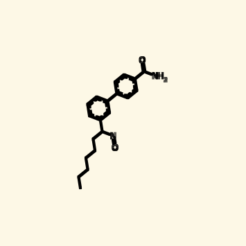 CCCCCCC(N=O)c1cccc(-c2ccc(C(N)=O)cc2)c1